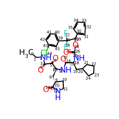 CCNC(=O)C(=O)[C@H](C[C@@H]1CCNC1=O)NC(=O)[C@H](CC1CCCC1)NC(=O)O[C@H](c1ccccc1)C(F)(F)c1cccc(Cl)c1